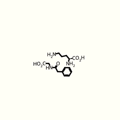 NCCC[C@H](N)C(=O)O.O=C(O)CNC(=O)Cc1ccccc1